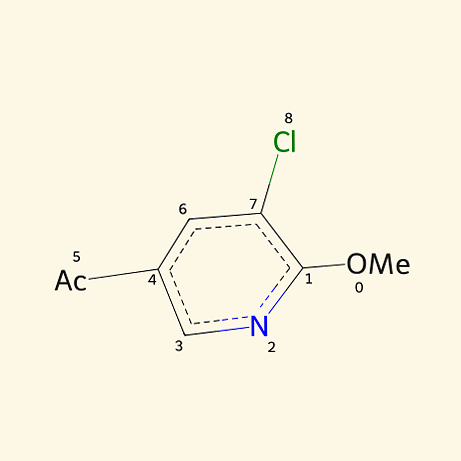 COc1ncc(C(C)=O)cc1Cl